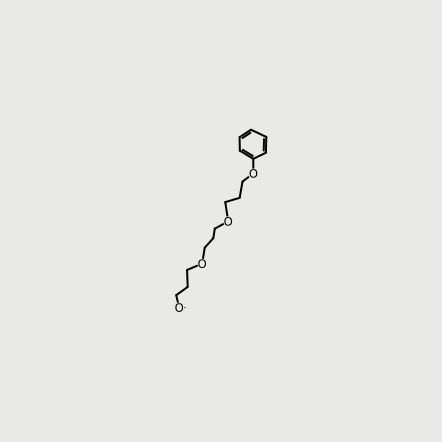 [O]CCCOCCCOCCCOc1ccccc1